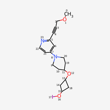 COCC#Cc1cc(N2CCC(OC3CC(OI)C3)CC2)ccn1